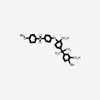 CC(C)(C)Oc1ccc(S(=O)(=O)c2ccc(Oc3ccc(C(C)(C)c4ccc(C(C)(C)C)c(S(=O)(=O)O)c4)cc3S(=O)(=O)O)cc2)cc1